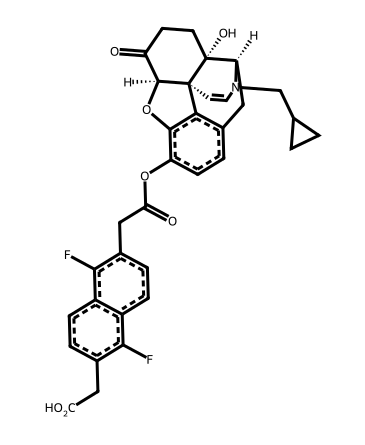 O=C(O)Cc1ccc2c(F)c(CC(=O)Oc3ccc4c5c3O[C@H]3C(=O)CC[C@@]6(O)[C@@H](C4)N(CC4CC4)C=C[C@]536)ccc2c1F